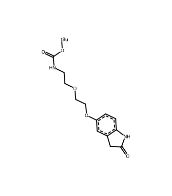 CC(C)(C)OC(=O)NCCOCCOc1ccc2c(c1)CC(=O)N2